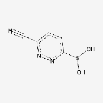 N#Cc1ccc(B(O)O)nn1